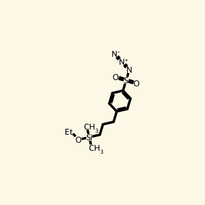 CCO[Si](C)(C)CCCc1ccc(S(=O)(=O)N=[N+]=[N-])cc1